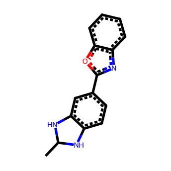 CC1Nc2ccc(-c3nc4ccccc4o3)cc2N1